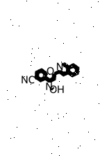 N#Cc1ccc2oc(-c3cc4ccccc4cn3)cc(=NO)c2c1